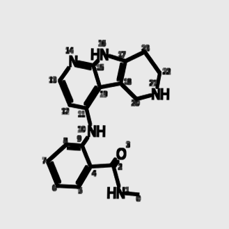 CNC(=O)c1ccccc1Nc1ccnc2[nH]c3c(c12)CNCC3